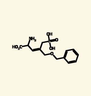 NC(C=C(COCc1ccccc1)CP(=O)(O)O)C(=O)O